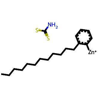 CCCCCCCCCCCCc1cccc[c]1[Zn+].NC(=S)[S-]